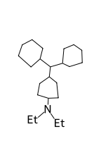 CCN(CC)C1CCC(C(C2CCCCC2)C2CCCCC2)CC1